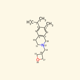 Cc1cc2c(cc1C(C)C)CCN(CC1COC1)C2